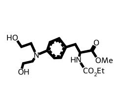 CCOC(=O)NC(Cc1ccc(N(CCO)CCO)cc1)C(=O)OC